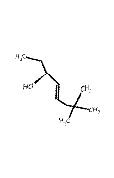 CC[C@H](O)/C=C/C(C)(C)C